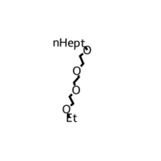 CCCCCCCOCCOCCOCCOCC